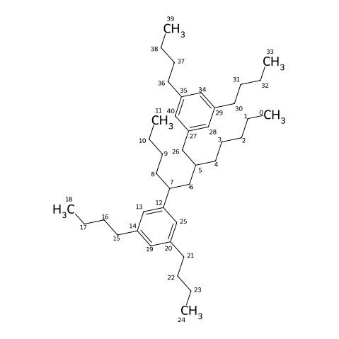 CCCCCC([CH]C(CCCC)c1cc(CCCC)cc(CCCC)c1)Cc1cc(CCCC)cc(CCCC)c1